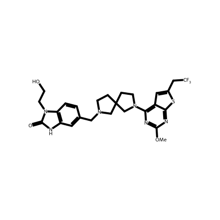 COc1nc(N2CCC3(CCN(Cc4ccc5c(c4)[nH]c(=O)n5CCO)C3)C2)c2cc(CC(F)(F)F)sc2n1